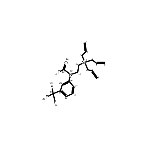 C=CC[Si](CC=C)(CC=C)CCN(C(=O)F)c1cccc(C(F)(F)F)c1